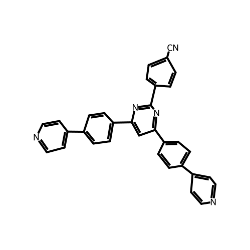 N#Cc1ccc(-c2nc(-c3ccc(-c4ccncc4)cc3)cc(-c3ccc(-c4ccncc4)cc3)n2)cc1